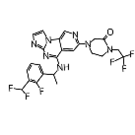 CC(Nc1nc2nccn2c2cnc(N3CCN(CC(F)(F)F)C(=O)C3)cc12)c1cccc(C(F)F)c1F